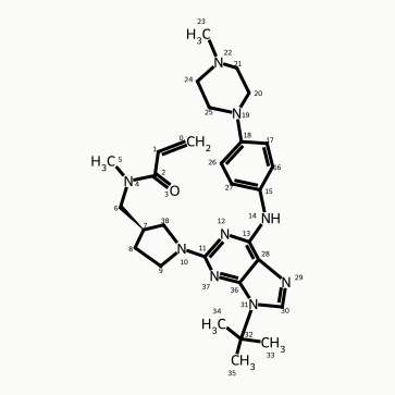 C=CC(=O)N(C)C[C@@H]1CCN(c2nc(Nc3ccc(N4CCN(C)CC4)cc3)c3ncn(C(C)(C)C)c3n2)C1